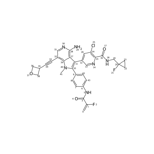 C=C(F)C(=O)Nc1ccc(-c2c(-c3cnc(C(=O)NCC4(F)CC4)c(Cl)c3)c3c(N)ncc(C#CC4COC4)c3n2C)cc1